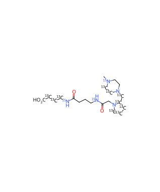 C[15N]1CCN([13CH2][13CH]2[13CH2][13CH2][13CH2]N2CC(=O)[15NH]CCCC(=O)[15NH][13CH2][13CH2][13CH2][13C](=O)O)[13CH2][13CH2]1